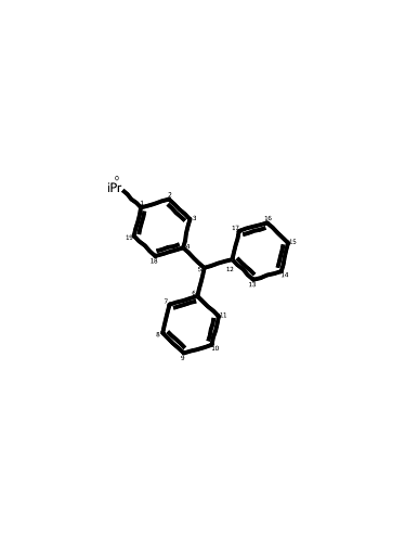 CC(C)c1ccc(C(c2ccccc2)c2ccccc2)cc1